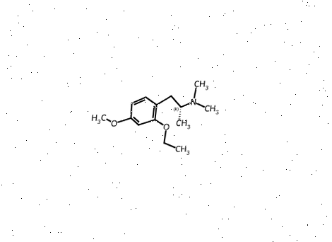 CCOc1cc(OC)ccc1C[C@@H](C)N(C)C